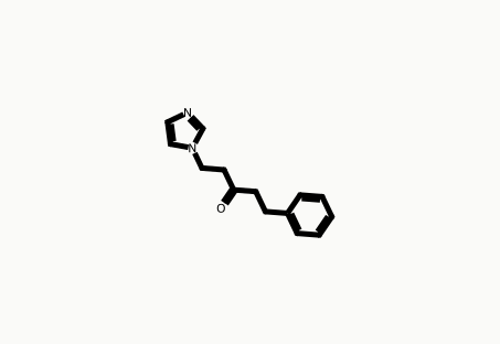 O=C(CCc1ccccc1)CCn1ccnc1